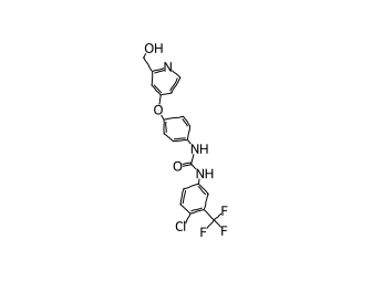 O=C(Nc1ccc(Oc2ccnc(CO)c2)cc1)Nc1ccc(Cl)c(C(F)(F)F)c1